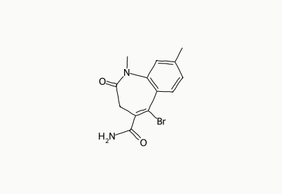 Cc1ccc2c(c1)N(C)C(=O)CC(C(N)=O)=C2Br